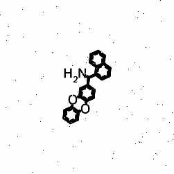 NC(c1ccc2c(c1)Oc1ccccc1O2)c1cccc2ccccc12